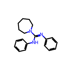 c1ccc(N=C(Nc2ccccc2)N2CCCCCC2)cc1